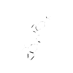 CC(C)C(=O)N1CCc2c(cccc2NCC(=O)N(CCN(C)C)Cc2ccccc2)C1